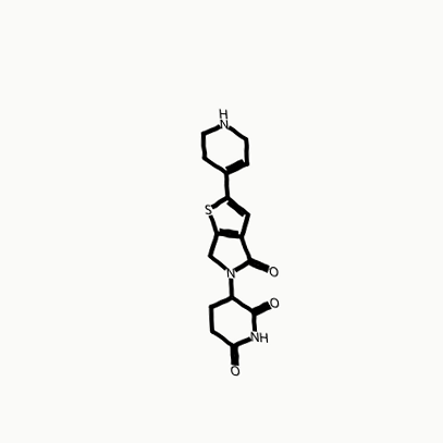 O=C1CCC(N2Cc3sc(C4=CCNCC4)cc3C2=O)C(=O)N1